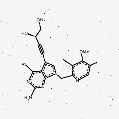 COc1c(C)cnc(Cn2cc(C#C[C@@H](O)CO)c3c(Cl)nc(N)nc32)c1C